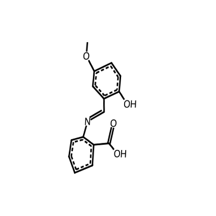 COc1ccc(O)c(C=Nc2ccccc2C(=O)O)c1